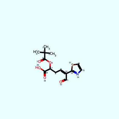 CC(C)(C)C(=O)OC(CC=C(C=O)c1nccs1)C(=O)O